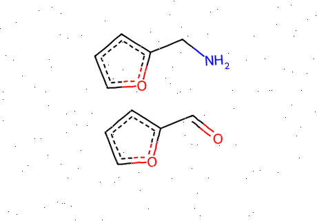 NCc1ccco1.O=Cc1ccco1